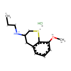 CCCNC1CSc2c(cccc2OC)C1.Cl